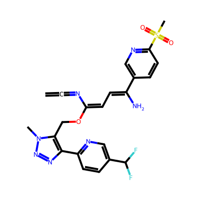 C=C=N/C(=C\C=C(/N)c1ccc(S(C)(=O)=O)nc1)OCc1c(-c2ccc(C(F)F)cn2)nnn1C